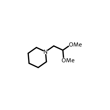 COC(CN1CCCCC1)OC